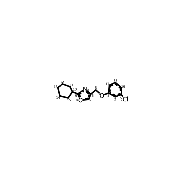 Clc1[c]c(OCc2coc(C3CCCCC3)n2)ccc1